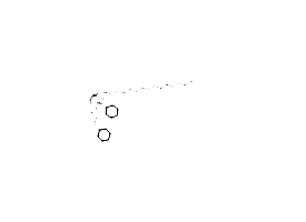 CCCCCCCCCCCCCCCCn1cc[n+](CCCc2ccccc2)c1-c1ccccc1